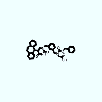 O=C(O)CN(Cc1cccc(Cn2cc(C3c4ccccc4C=Cc4ccccc43)c(=S)[nH]c2=O)c1)C(=O)OCc1ccccc1